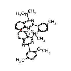 COc1ccc(C)cc1-c1nc([N+](C)(C)c2ccc(C)cc2-c2nc(N(C)C)c3ccccc3n2)c2ccccc2n1